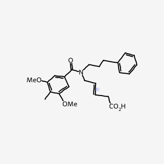 COc1cc(C(=O)N(C/C=C/CC(=O)O)CCCc2ccccc2)cc(OC)c1C